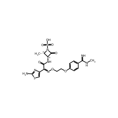 CNC(=N)c1ccc(OCCON=C(C(=O)N[C@@H]2C(=O)N(S(=O)(=O)O)[C@H]2C)c2csc(N)n2)cc1